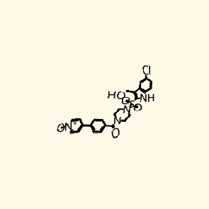 O=C(c1ccc(-c2cc[n+]([O-])cc2)cc1)N1CCN(S(=O)(=O)c2[nH]c3ccc(Cl)cc3c2CO)CC1